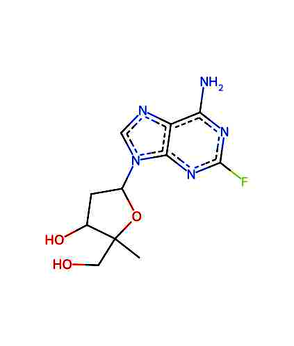 CC1(CO)OC(n2cnc3c(N)nc(F)nc32)CC1O